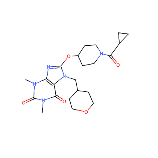 Cn1c(=O)c2c(nc(OC3CCN(C(=O)C4CC4)CC3)n2CC2CCOCC2)n(C)c1=O